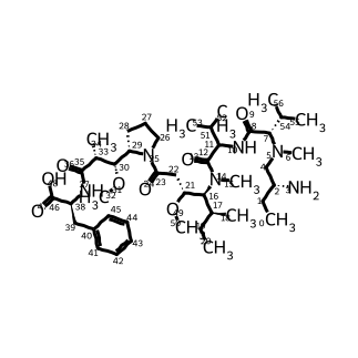 CC[C@@H](N)CN(C)[C@H](C(=O)NC(C(=O)N(C)[C@@H]([C@@H](C)CC)[C@@H](CC(=O)N1CCC[C@H]1[C@H](OC)[C@@H](C)C(=O)N[C@@H](Cc1ccccc1)C(=O)O)OC)C(C)C)C(C)C